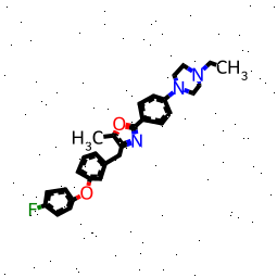 CCN1CCN(c2ccc(-c3nc(Cc4cccc(Oc5ccc(F)cc5)c4)c(C)o3)cc2)CC1